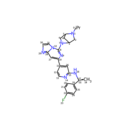 CC(C)N1CC2CC1CN2c1nc(-c2ccnc(N[C@@H](C)c3ccc(F)cc3)c2)cc2nccn12